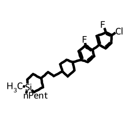 CCCCC[Si]1(C)CCC(CCC2CCC(c3ccc(-c4ccc(Cl)c(F)c4)c(F)c3)CC2)CC1